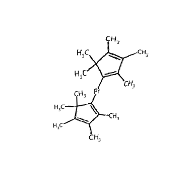 CC1=C(C)C(C)(C)[C]([Pr][C]2=C(C)C(C)=C(C)C2(C)C)=C1C